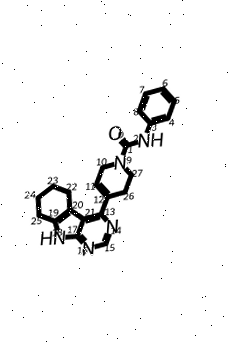 O=C(Nc1ccccc1)N1CC=C(c2ncnc3[nH]c4c(c23)CCCC4)CC1